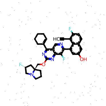 C#Cc1c(F)ccc2cc(O)cc(-c3ncc4c(C5=CCCCC5)nc(OC[C@@]56CCCN5C[C@H](F)C6)nc4c3F)c12